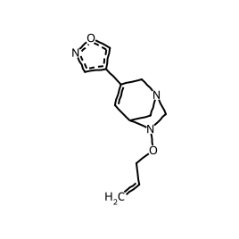 C=CCON1CN2CC(c3cnoc3)=CC1C2